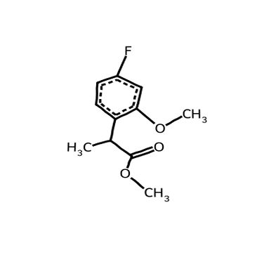 COC(=O)C(C)c1ccc(F)cc1OC